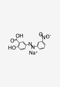 O=C(O)c1cc(N=Nc2cccc([N+](=O)[O-])c2)ccc1O.[Na+]